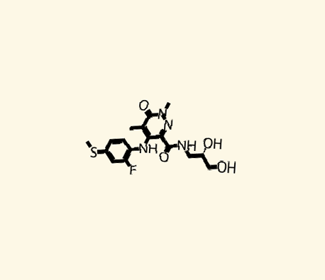 CSc1ccc(Nc2c(C(=O)NC[C@H](O)CO)nn(C)c(=O)c2C)c(F)c1